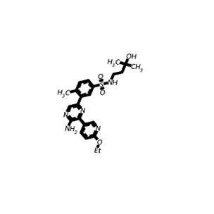 CCOc1ccc(-c2nc(-c3cc(S(=O)(=O)NCCC(C)(C)O)ccc3C)cnc2N)cn1